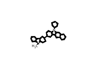 Cn1c2ccccc2c2cc(-c3ccc4c(c3)c3cc5ccccc5cc3n4-c3ccccc3)ccc21